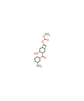 COC(=O)OC1=Cc2cc(C(=O)c3cccc(C)c3)c(O)cc21